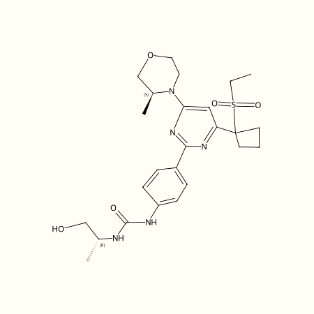 CCS(=O)(=O)C1(c2cc(N3CCOC[C@@H]3C)nc(-c3ccc(NC(=O)N[C@H](C)CO)cc3)n2)CCC1